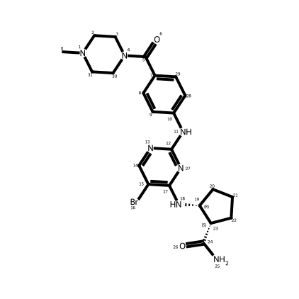 CN1CCN(C(=O)c2ccc(Nc3ncc(Br)c(N[C@@H]4CCC[C@@H]4C(N)=O)n3)cc2)CC1